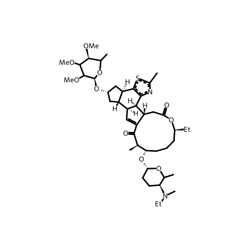 CC[C@H]1CCC[C@H](O[C@H]2CC[C@H](N(C)CC)C(C)O2)[C@@H](C)C(=O)C2=C[C@H]3[C@@H]4C[C@H](O[C@@H]5OC(C)[C@H](OC)C(OC)C5OC)C[C@H]4c4sc(C)nc4[C@H]3[C@@H]2CC(=O)O1